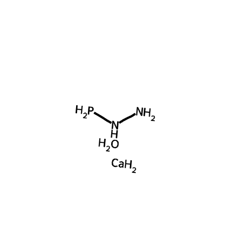 NNP.O.[CaH2]